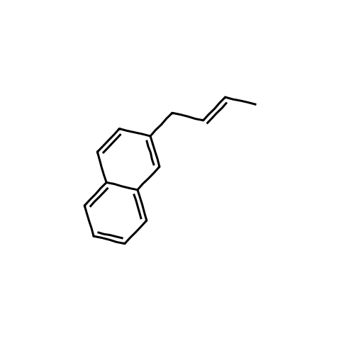 CC=CCc1ccc2ccccc2c1